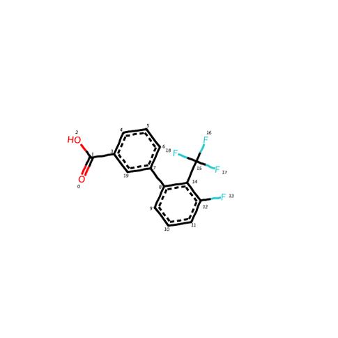 O=C(O)c1cccc(-c2cccc(F)c2C(F)(F)F)c1